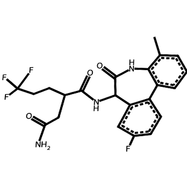 Cc1cccc2c1NC(=O)C(NC(=O)C(CCC(F)(F)F)CC(N)=O)c1cc(F)ccc1-2